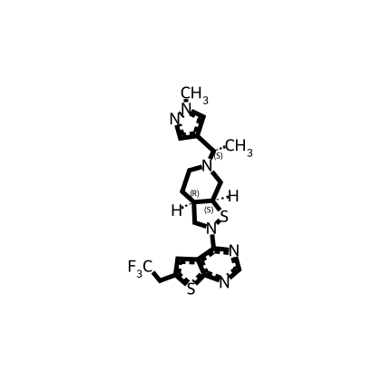 C[C@@H](c1cnn(C)c1)N1CC[C@@H]2CN(c3ncnc4sc(CC(F)(F)F)cc34)S[C@@H]2C1